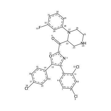 O=C(c1nc(-c2ccc(Cl)cc2Cl)c(-c2ccc(Cl)cc2)o1)C1CNCCN1c1cccc(F)c1